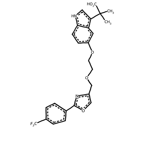 CC(C)(C(=O)O)c1c[nH]c2ccc(OCCOCc3coc(-c4ccc(C(F)(F)F)cc4)n3)cc12